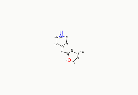 C[C@@H]1CCOC(CC2CCNCC2)C1